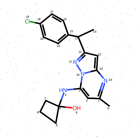 Cc1cc(NC2(O)CCC2)n2nc(C(C)c3ccc(Cl)cc3)cc2n1